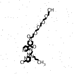 C#CCOCCOCCOCCOCCC(=O)N1CCC2(CC1)C(=O)N(Cc1nc3nc(Cl)ccc3n1CCCC)c1cnccc12